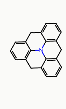 c1cc2c3c(c1)Cc1cccc4c1N3c1c(cccc1C4)C2